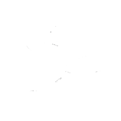 C=C1CC(C)CC2CC=CC(CC#CC(=O)OC(C(C=CC3CC(C)=CCO3)OC)C/C=C\C(O[Si](C)(C)C(C)(C)C)C1)O2